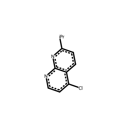 CC(C)c1ccc2c(Cl)ccnc2n1